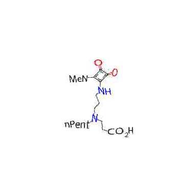 CCCCCN(CCCNc1c(NC)c(=O)c1=O)CCC(=O)O